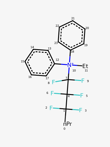 CCCC(F)(F)C(F)(F)C(F)(F)[N+](CC)(c1ccccc1)c1ccccc1